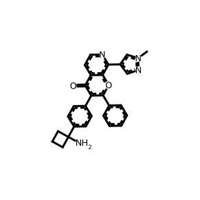 Cn1cc(-c2nccc3c(=O)c(-c4ccc(C5(N)CCC5)cc4)c(-c4ccccc4)oc23)cn1